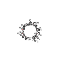 CCCC[C@H]1C(=O)N(C)CC(=O)N[C@@H](CC(=O)O)C(=O)N[C@@H](C(C)C)C(=O)N[C@@H](Cc2cccc(Cl)c2)C(=O)N[C@@H](Cc2ccc(O)cc2)C(=O)N(C)CC(=O)N[C@@H](Cc2c[nH]c3ccccc23)C(=O)NC(Cc2ccc(O)cc2)C(=O)N[C@@H](CC(C)C)C(=O)N[C@H](C(=O)NCC(N)=O)CSCC(=O)N[C@@H](Cc2ccccc2)C(=O)N(C)[C@@H](Cc2ccccc2)C(=O)N1C